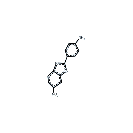 Nc1ccc(-c2nc3ccc([N+](=O)[O-])cc3s2)cc1